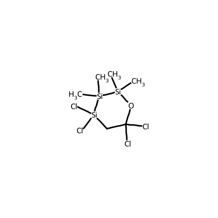 C[Si]1(C)OC(Cl)(Cl)C[Si](Cl)(Cl)[Si]1(C)C